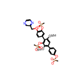 COc1cc(-c2ccc(OS(C)(=O)=O)cc2)c(OC)c(OS(C)(=O)=O)c1-c1ccc(OCc2cnccn2)c(OS(C)(=O)=O)c1